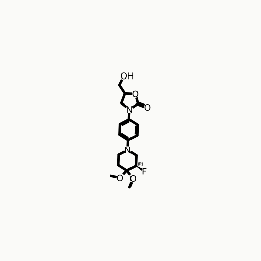 COC1(OC)CCN(c2ccc(N3CC(CO)OC3=O)cc2)C[C@H]1F